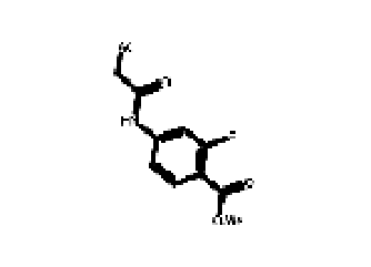 COC(=O)c1ccc(NC(=O)CC(C)=O)cc1F